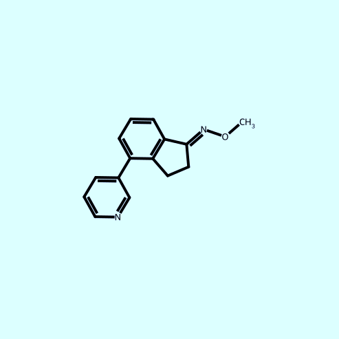 CON=C1CCc2c1cccc2-c1cccnc1